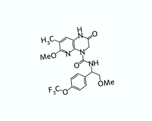 COCC(NC(=O)N1CC(=O)Nc2cc(C)c(OC)nc21)c1ccc(OC(F)(F)F)cc1